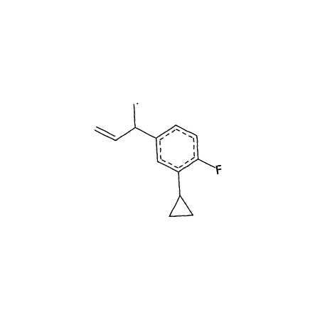 [CH2]C(C=C)c1ccc(F)c(C2CC2)c1